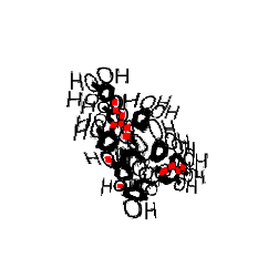 Oc1cc(O)c2c(c1)O[C@H](c1ccc(O)c(O)c1)[C@H](OCOc1cc(O)c(O)c(O)c1)[C@H]2c1c(O)cc(O)c2c1O[C@H](c1ccc(O)c(O)c1)[C@H](OCOc1cc(O)c(O)c(O)c1)[C@H]2c1c(O)cc(O)c2c1O[C@H](c1ccc(O)c(O)c1)[C@H](OCOc1cc(O)c(O)c(O)c1)C2